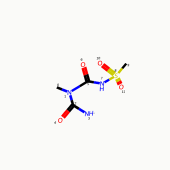 CN(C([NH])=O)C(=O)NS(C)(=O)=O